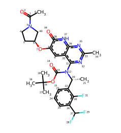 CC(=O)N1CC[C@H](Oc2cc3c(N(C(=O)OC(C)(C)C)[C@H](C)c4cccc(C(F)F)c4F)nc(C)nc3[nH]c2=O)C1